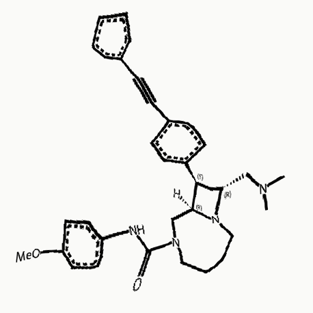 COc1ccc(NC(=O)N2CCCCN3[C@@H](CN(C)C)[C@H](c4ccc(C#Cc5ccccc5)cc4)[C@@H]3C2)cc1